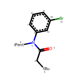 CCCC(C)N(C(=O)CC(C)(C)C)c1cccc(Br)c1